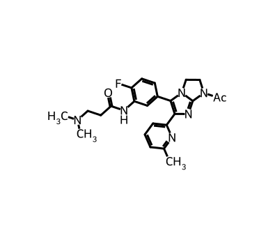 CC(=O)N1CCn2c1nc(-c1cccc(C)n1)c2-c1ccc(F)c(NC(=O)CCN(C)C)c1